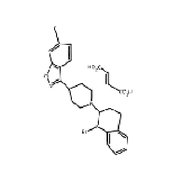 CCN1c2ccccc2CCC1N1CCC(c2noc3cc(F)ccc23)CC1.O=C(O)/C=C/C(=O)O